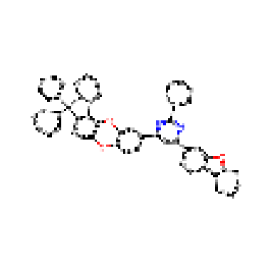 c1ccc(-c2nc(-c3ccc4c(c3)Oc3c(ccc5c3-c3ccccc3C5(c3ccccc3)c3ccccc3)O4)cc(-c3ccc4c(c3)oc3ccccc34)n2)cc1